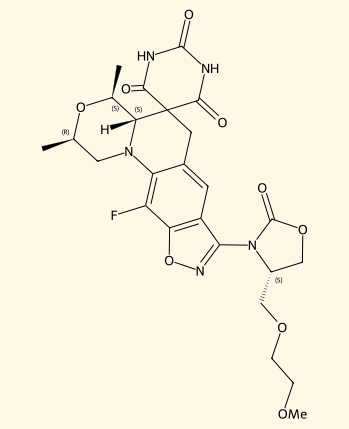 COCCOC[C@H]1COC(=O)N1c1noc2c(F)c3c(cc12)CC1(C(=O)NC(=O)NC1=O)[C@H]1[C@H](C)O[C@H](C)CN31